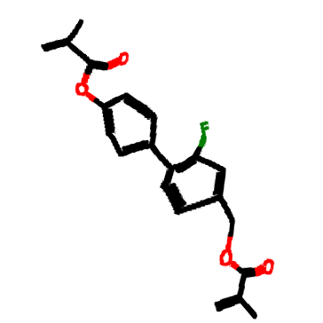 C=C(C)C(=O)OCc1ccc(-c2ccc(OC(=O)C(=C)C)cc2)c(F)c1